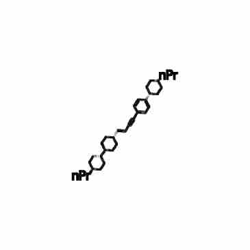 CCC[C@H]1CC[C@H](c2ccc(C#CC=C[C@H]3CC[C@H]([C@H]4CC[C@H](CCC)CC4)CC3)cc2)CC1